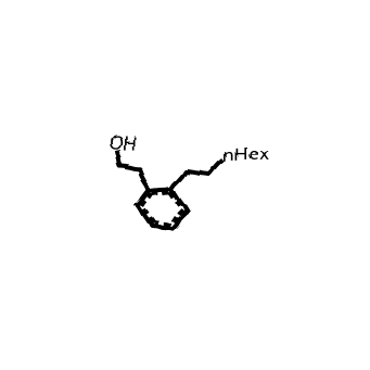 CCCCCCCCc1ccccc1CCO